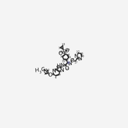 CN1CC(Oc2ccc3nc(NC(=O)/C(=N/OCc4ncccn4)c4ccc(S(=O)(=O)C5CC5)cc4)sc3n2)C1